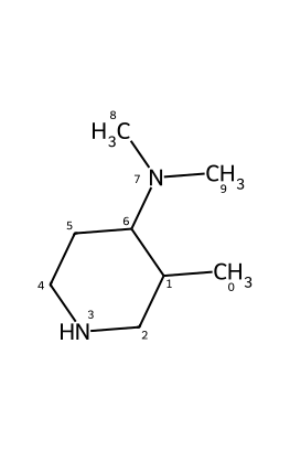 CC1CNCCC1N(C)C